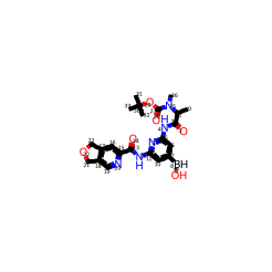 CC(C(=O)Nc1cc(BO)cc(NC(=O)c2cc3c(cn2)COC3)n1)N(C)C(=O)OC(C)(C)C